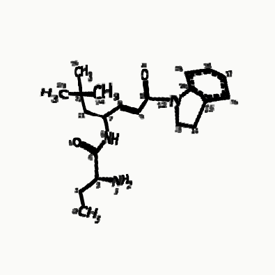 CC[C@H](N)C(=O)N[C@H](C=CC(=O)N1CCc2ccccc21)CC(C)(C)C